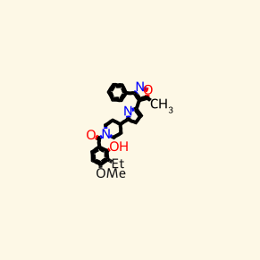 CCc1c(OC)ccc(C(=O)N2CCC(C3=NC(c4c(-c5ccccc5)noc4C)=CC3)CC2)c1O